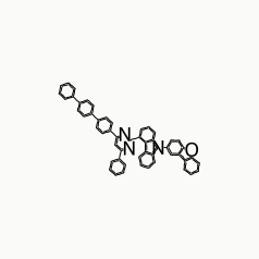 c1ccc(-c2ccc(-c3ccc(-c4cc(-c5ccccc5)nc(-c5cccc6c5c5ccccc5n6-c5ccc6oc7ccccc7c6c5)n4)cc3)cc2)cc1